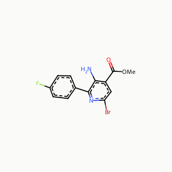 COC(=O)c1cc(Br)nc(-c2ccc(F)cc2)c1N